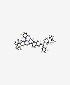 CC1(C)c2ccc(N(c3ccccc3)c3ccc4c(ccc5cc(N(c6ccccc6)c6ccc7c(c6)C(C)(C)C(C)(C)C7(C)C)ccc54)c3)cc2C(C)(C)C1(C)C